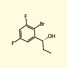 CC[C@@H](O)c1cc(F)cc(F)c1Br